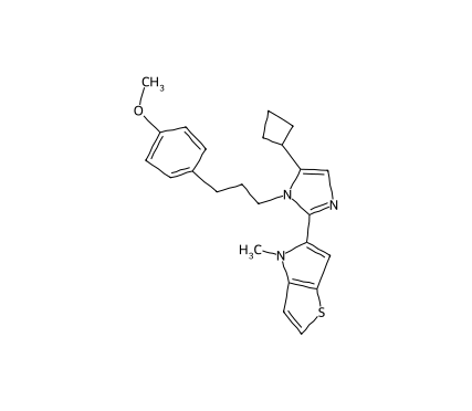 COc1ccc(CCCn2c(C3CCC3)cnc2-c2cc3sccc3n2C)cc1